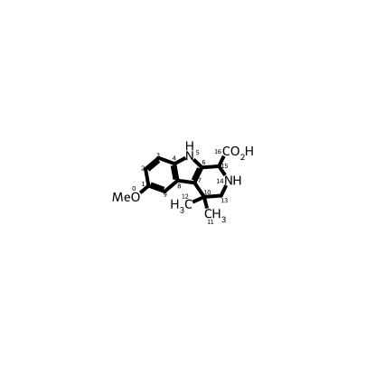 COc1ccc2[nH]c3c(c2c1)C(C)(C)CNC3C(=O)O